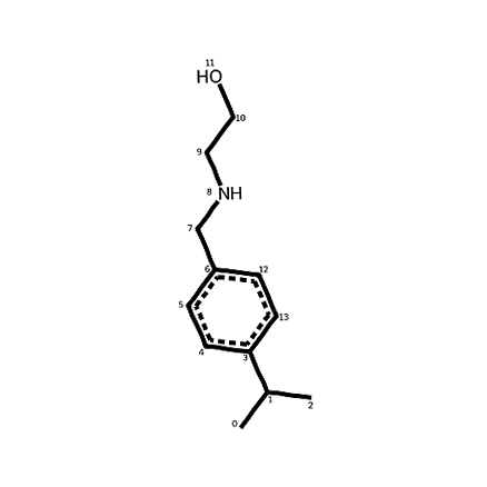 CC(C)c1ccc(CNCCO)cc1